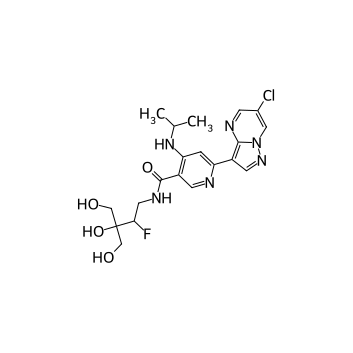 CC(C)Nc1cc(-c2cnn3cc(Cl)cnc23)ncc1C(=O)NCC(F)C(O)(CO)CO